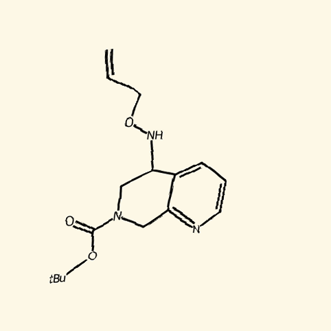 C=CCONC1CN(C(=O)OC(C)(C)C)Cc2ncccc21